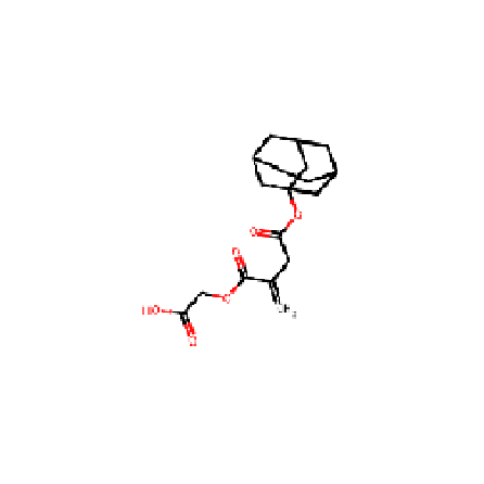 C=C(CC(=O)OC12CC3CC(CC(C3)C1)C2)C(=O)OCC(=O)O